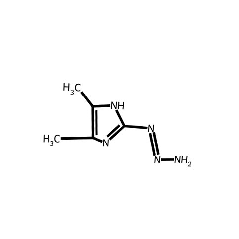 Cc1nc(N=NN)[nH]c1C